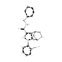 O=C(NCc1ccccc1)c1nn(-c2ccccc2Cl)c2c1C1CCC2C1